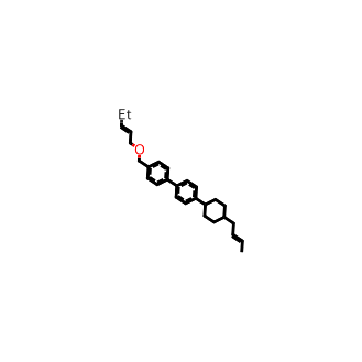 CC=CCC1CCC(c2ccc(-c3ccc(COCC=CCC)cc3)cc2)CC1